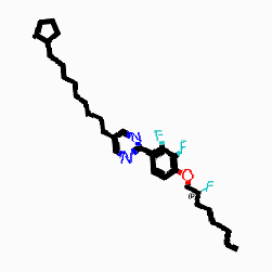 CCCCCC[C@@H](F)COc1ccc(-c2ncc(CCCCCCCCCC3CCCC3)cn2)c(F)c1F